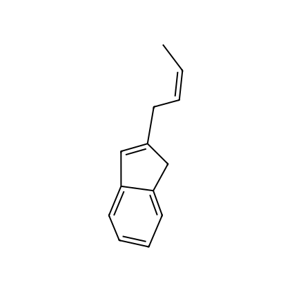 C/C=C\CC1=Cc2ccccc2C1